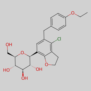 CCOc1ccc(Cc2cc([C@@H]3O[C@H](CO)[C@@H](O)[C@H](O)[C@H]3O)c3c(c2Cl)CCO3)cc1